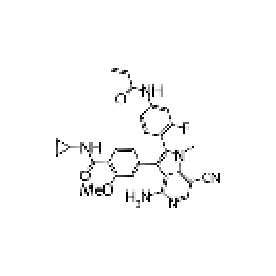 C=CC(=O)Nc1ccc(-c2c(-c3ccc(C(=O)NC4CC4)c(OC)c3)c3c(N)ncc(C#N)c3n2C)c(F)c1